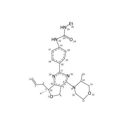 C=CC[C@]1(C)OCc2c(N3CCOCC3C)nc(-c3ccc(NC(=O)NCC)cc3)nc21